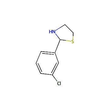 Clc1cccc(C2NCCS2)c1